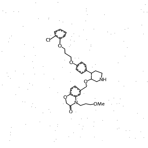 COCCCN1C(=O)COc2ccc(COC3CNCCC3c3ccc(OCCCOc4ccccc4Cl)cc3)cc21